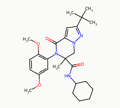 COc1ccc(OC)c(N2C(=O)c3cc(C(C)(C)C)nn3CC2(C)C(=O)NC2CCCCC2)c1